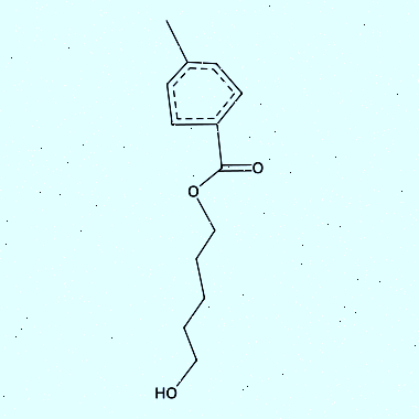 Cc1ccc(C(=O)OCCCCCO)cc1